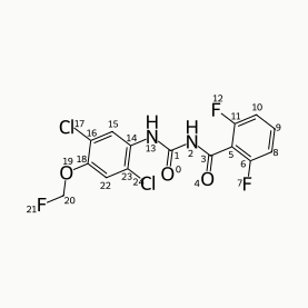 O=C(NC(=O)c1c(F)cccc1F)Nc1cc(Cl)c(OCF)cc1Cl